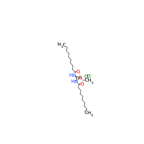 CCCCCCCCCC(=O)[NH][Ti+2]([NH]C(=O)CCCCCCCCC)[O]CC.[Cl-].[Cl-]